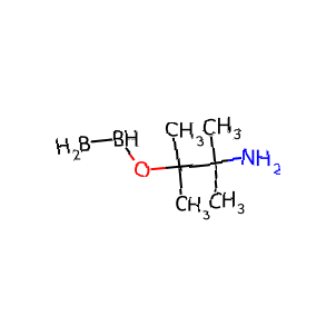 BBOC(C)(C)C(C)(C)N